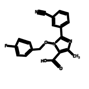 Cc1nc(-c2cccc(C#N)c2)n(OCc2ccc(F)cc2)c1C(=O)O